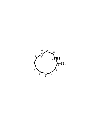 O=C1CNCCCCCNCCN1